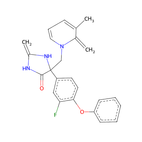 C=C1NC(=O)C(CN2C=CC=C(C)C2=C)(c2ccc(Oc3ccccc3)c(F)c2)N1